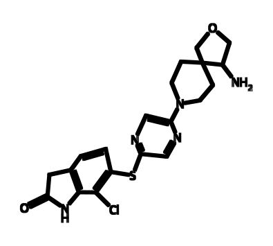 NC1COCC12CCN(c1cnc(Sc3ccc4c(c3Cl)NC(=O)C4)cn1)CC2